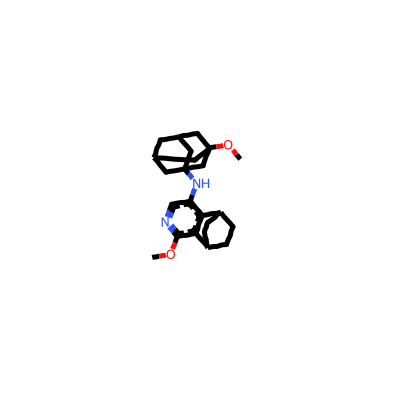 COc1ncc(NC23CC4CC(C2)CC(OC)(C4)C3)c2c1C1CCC2CC1